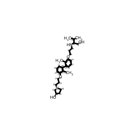 Cc1c(OCCCNC(CO)C(C)C)cccc1-c1cccc(OCCCN2CC[C@@H](O)C2)c1C